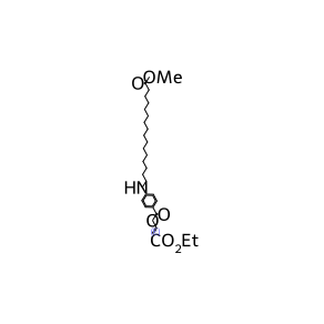 CCOC(=O)/C=C/OC(=O)c1ccc(NCCCCCCCCCCCCCCCC(=O)OC)cc1